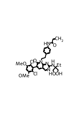 C=CC(=O)Nc1ccc(CCn2c(=O)c(-c3c(Cl)c(OC)cc(OC)c3Cl)cc3cnc(NC(CC)(CO)CO)nc32)cc1